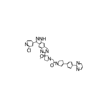 CO[C@@]1(c2ncc3cc4[nH]nc(-c5ccnc(Cl)c5)c4cc3n2)CCN(CC(=O)N2CC=C(c3ccc(-c4ncccn4)cc3)CC2)C1